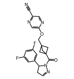 N#Cc1cnc(OCC23CC(C(=O)N4N=CCC4c4cc(F)cc(F)c4)(C2)C3)cn1